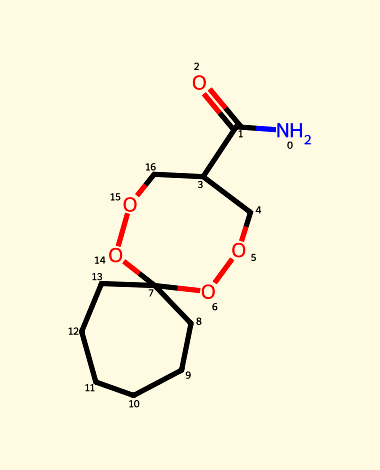 NC(=O)C1COOC2(CCCCCC2)OOC1